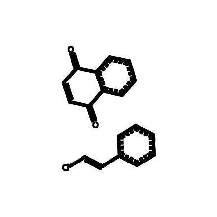 ClC=Cc1ccccc1.O=C1C=CC(=O)c2ccccc21